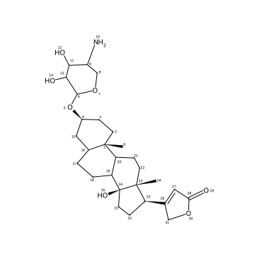 C[C@]12CC[C@H](OC3OCC(N)C(O)C3O)CC1CCC1C2CC[C@]2(C)[C@@H](C3=CC(=O)OC3)CC[C@]12O